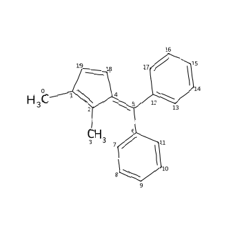 CC1=C(C)C(=C(c2ccccc2)c2ccccc2)[C]=C1